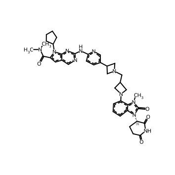 CN(C)C(=O)c1cc2cnc(Nc3ccc(C4CN(CC5CN(c6cccc7c6n(C)c(=O)n7[C@H]6CCC(=O)NC6=O)C5)C4)cn3)nc2n1C1CCCC1